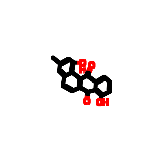 Cc1cc(O)c2c3c(ccc2c1)C(=O)c1c(O)cccc1C3=O